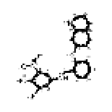 O=[N+]([O-])c1cc(NCc2ccccc2Sc2ccc3cccnc3c2)cc(F)c1O